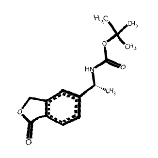 C[C@@H](NC(=O)OC(C)(C)C)c1ccc2c(c1)COC2=O